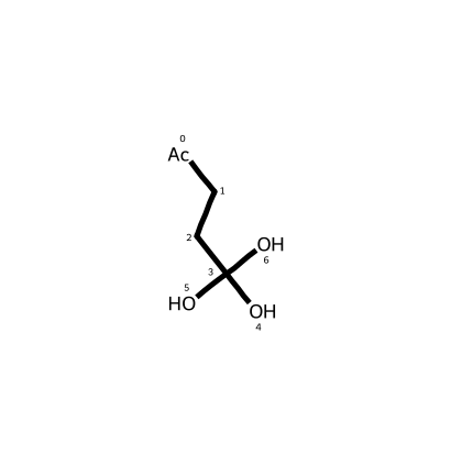 CC(=O)CCC(O)(O)O